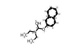 CCN(CC)C(O)Oc1ccc2ccccc2c1